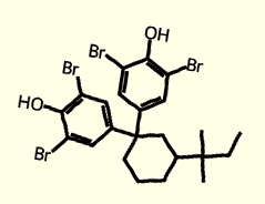 CCC(C)(C)C1CCCC(c2cc(Br)c(O)c(Br)c2)(c2cc(Br)c(O)c(Br)c2)C1